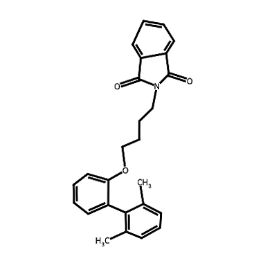 Cc1cccc(C)c1-c1ccccc1OCCCCN1C(=O)c2ccccc2C1=O